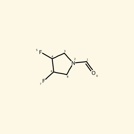 O=CN1CC(F)C(F)C1